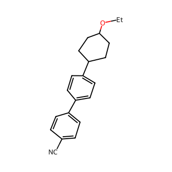 CCOC1CCC(c2ccc(-c3ccc(C#N)cc3)cc2)CC1